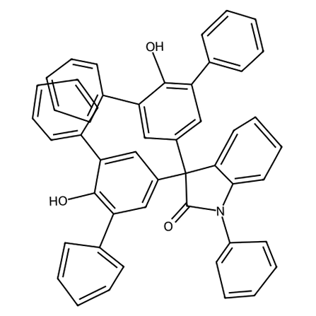 O=C1N(c2ccccc2)c2ccccc2C1(c1cc(-c2ccccc2)c(O)c(-c2ccccc2)c1)c1cc(-c2ccccc2)c(O)c(-c2ccccc2)c1